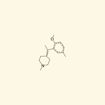 COc1ccc(C)cc1C(C)=C1CCN(C)CC1